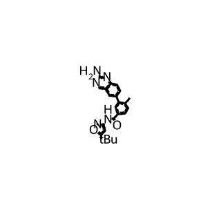 Cc1ccc(C(=O)Nc2cc(C(C)(C)C)on2)cc1-c1ccc2nc(N)ncc2c1